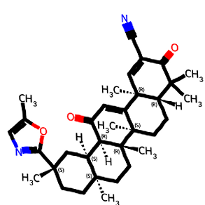 Cc1cnc([C@@]2(C)CC[C@]3(C)CC[C@]4(C)[C@H](C(=O)C=C5[C@@]6(C)C=C(C#N)C(=O)C(C)(C)[C@@H]6CC[C@]54C)[C@@H]3C2)o1